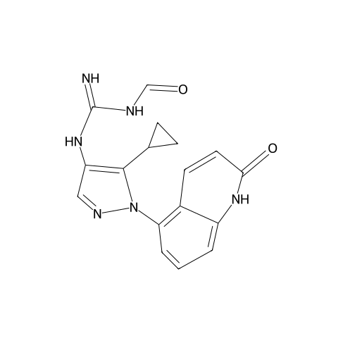 N=C(NC=O)Nc1cnn(-c2cccc3[nH]c(=O)ccc23)c1C1CC1